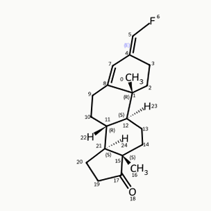 C[C@]12CC/C(=C\F)C=C1CC[C@@H]1[C@@H]2CC[C@]2(C)C(=O)CC[C@@H]12